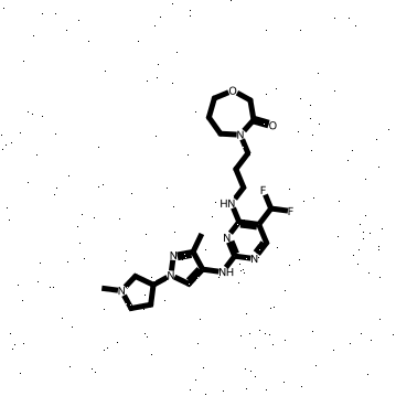 Cc1nn(C2CCN(C)C2)cc1Nc1ncc(C(F)F)c(NCCCN2CCCOCC2=O)n1